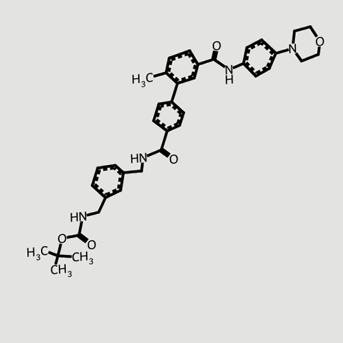 Cc1ccc(C(=O)Nc2ccc(N3CCOCC3)cc2)cc1-c1ccc(C(=O)NCc2cccc(CNC(=O)OC(C)(C)C)c2)cc1